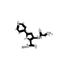 C=CC(=O)Nc1cc(-c2ccncc2)sc1C(=O)OC